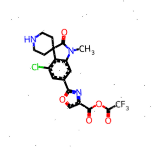 CN1C(=O)C2(CCNCC2)c2c(Cl)cc(-c3nc(C(=O)OC(=O)C(F)(F)F)co3)cc21